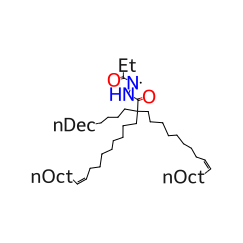 [CH2]CC(=O)[N]NC(=O)C(CCCCCCCC/C=C\CCCCCCCC)(CCCCCCCC/C=C\CCCCCCCC)CCCCCCCCCCCCCC